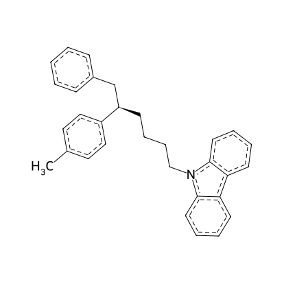 Cc1ccc([C@H](CCCCn2c3ccccc3c3ccccc32)Cc2ccccc2)cc1